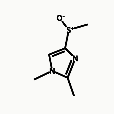 Cc1nc([S+](C)[O-])cn1C